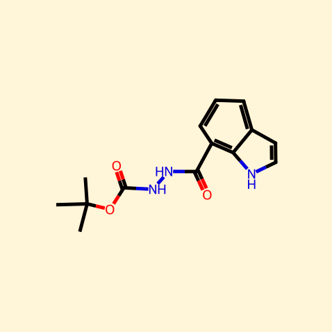 CC(C)(C)OC(=O)NNC(=O)c1cccc2cc[nH]c12